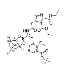 CCOC(=O)c1nnn(CC(=O)N[C@@H](Cc2cccc(C(=O)OC(C)(C)C)c2OC)B2O[C@@H]3C[C@@H]4C[C@@H](C4(C)C)[C@]3(C)O2)c1C(=O)OCC